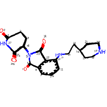 O=C1CCC(N2C(=O)c3cccc(NCCC4CCNCC4)c3C2=O)C(=O)N1